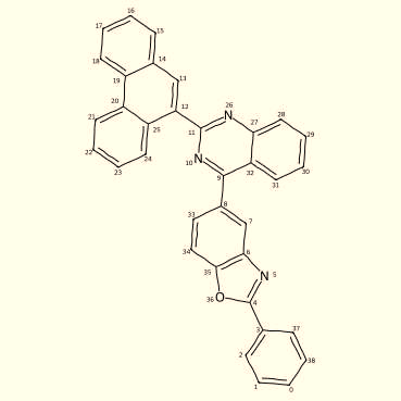 c1ccc(-c2nc3cc(-c4nc(-c5cc6ccccc6c6ccccc56)nc5ccccc45)ccc3o2)cc1